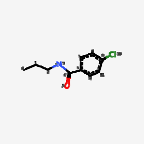 CCC[N]C(=O)c1ccc(Cl)cc1